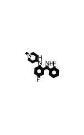 CN1CCC(Nc2ccc(F)cc2C(=N)c2ccccc2F)CC1